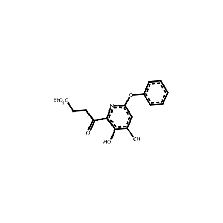 CCOC(=O)CCC(=O)c1nc(Oc2ccccc2)cc(C#N)c1O